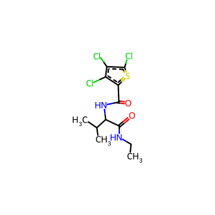 CCNC(=O)C(NC(=O)c1sc(Cl)c(Cl)c1Cl)C(C)C